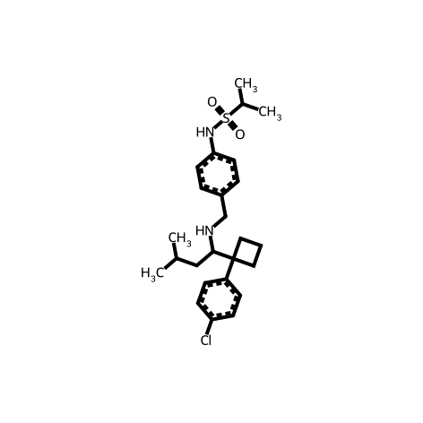 CC(C)CC(NCc1ccc(NS(=O)(=O)C(C)C)cc1)C1(c2ccc(Cl)cc2)CCC1